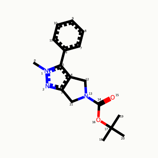 Cn1nc2c(c1-c1ccccc1)CN(C(=O)OC(C)(C)C)C2